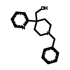 OCC1(c2ccccn2)CCN(Cc2ccccc2)CC1